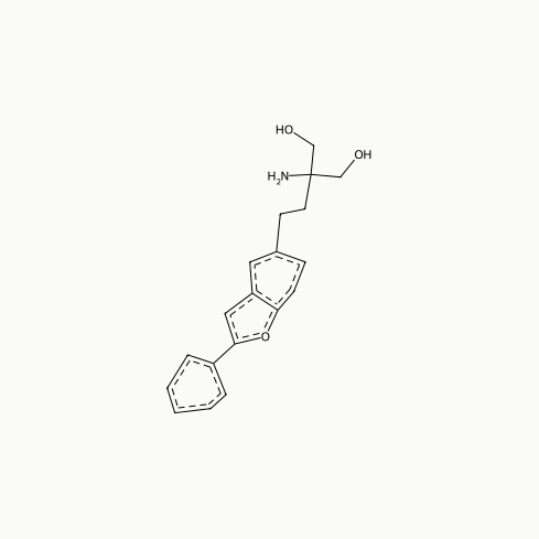 NC(CO)(CO)CCc1ccc2oc(-c3ccccc3)cc2c1